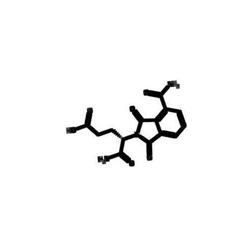 NC(=O)c1cccc2c1C(=O)N([C@@H](CCC(=O)O)C(N)=O)C2=O